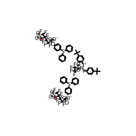 CC(C)(C)c1ccc([I+]N([I+]c2ccc(C(C)(C)C)cc2)S(=O)(=O)C(F)(F)C(F)(F)F)cc1.O=S(=O)([O-])C(F)(F)C(F)(F)C(F)(F)C(F)(F)S(=O)(=O)[O-].O=S(=O)([O-])C(F)(F)C(F)(F)C(F)(F)C(F)(F)S(=O)(=O)[O-].c1ccc([S+](c2ccccc2)c2ccccc2)cc1.c1ccc([S+](c2ccccc2)c2ccccc2)cc1